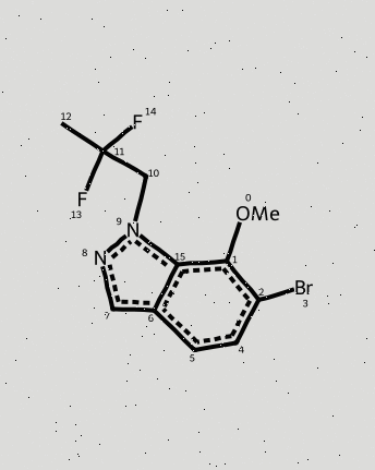 COc1c(Br)ccc2cnn(CC(C)(F)F)c12